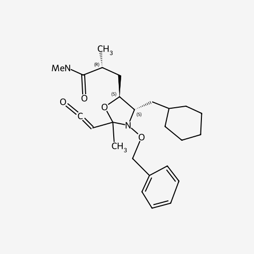 CNC(=O)[C@H](C)C[C@@H]1OC(C)(C=C=O)N(OCc2ccccc2)[C@H]1CC1CCCCC1